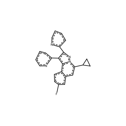 Fc1ccc2c(c1)cc(C1CC1)n1nc(-c3ccccn3)c(-c3ccccn3)c21